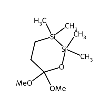 COC1(OC)CC[Si](C)(C)[Si](C)(C)O1